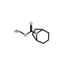 CCCCOC(=O)N1C2CCCC1CC2